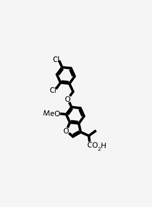 COc1c(OCc2ccc(Cl)cc2Cl)ccc2c(C(C)C(=O)O)coc12